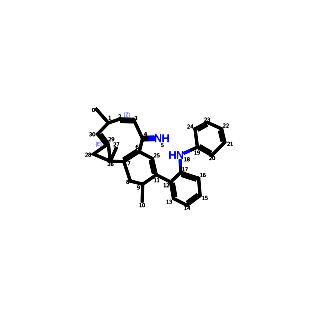 CC1/C=C\C(=N)C2=C(CC(C)C(c3ccccc3Nc3ccccc3)=C2)C2(C)C/C2=C\1